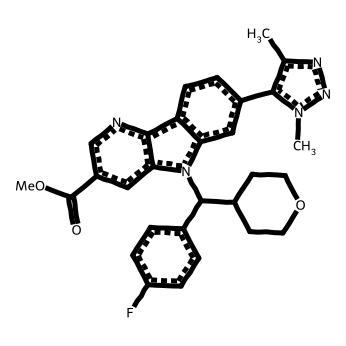 COC(=O)c1cnc2c3ccc(-c4c(C)nnn4C)cc3n(C(c3ccc(F)cc3)C3CCOCC3)c2c1